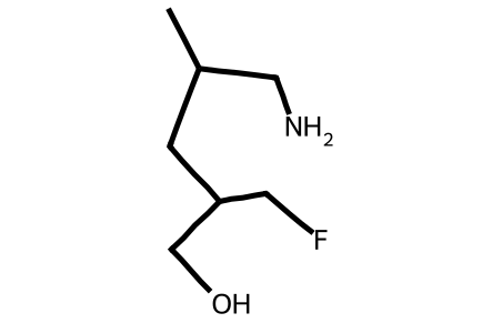 CC(CN)CC(CO)CF